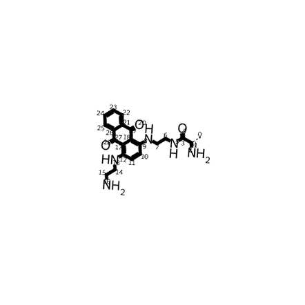 C[C@H](N)C(=O)NCCNc1ccc(NCCN)c2c1C(=O)c1ccccc1C2=O